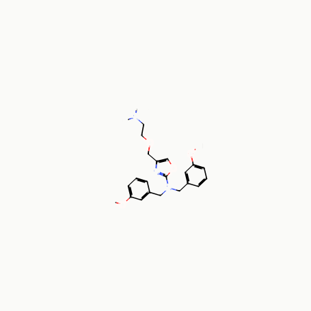 COc1cccc(CN(Cc2cccc(OC)c2)c2nc(COCCN(C)C)co2)c1